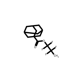 CC(F)(F)C(F)(F)OC(=O)C12CC3CC(CC(C3)C1)C2